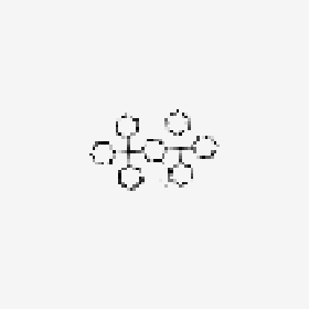 NCc1cc(C(c2ccccc2)(c2ccccc2)c2ccccc2)ccc1C(c1ccccc1)(c1ccccc1)c1ccccc1